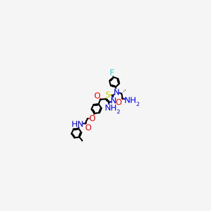 Cc1cccc(NC(=O)COc2ccc(C(=O)c3sc(N(c4ccc(F)cc4)[C@H](C)C(N)=O)nc3N)cc2)c1